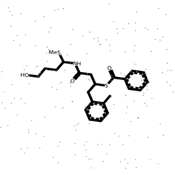 CSC(CCCO)NC(=O)CC(Cc1ccccc1C)SC(=O)c1ccccc1